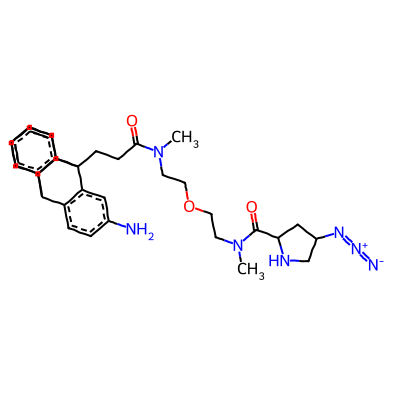 CN(CCOCCN(C)C(=O)C1CC(N=[N+]=[N-])CN1)C(=O)CCC12c3ccccc3C(c3ccc(N)cc31)C1C=CC=CC12